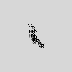 Cc1cnc2cccc(OCc3c(Cl)ccc(S(=O)(=O)N4CCC[C@H]4C(=O)NCCCNC(=O)c4ccc(C#N)cc4)c3Cl)c2n1